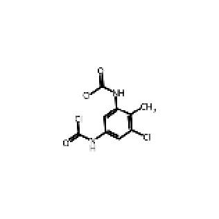 Cc1c(Cl)cc(NC(=O)Cl)cc1NC(=O)Cl